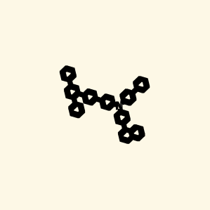 c1ccc(-c2ccc(N(c3ccc(-c4ccc(-c5cc(-c6ccccc6)ccc5-c5ccccc5)cc4)cc3)c3ccc(-c4cccc5ccccc45)cc3)cc2)cc1